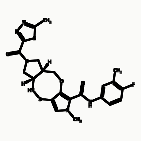 Cc1nnc(C(=O)N2C[C@@H]3COc4c(cn(C)c4C(=O)Nc4ccc(F)c(C)c4)SN[C@@H]3C2)s1